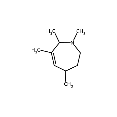 CC1=CC(C)CCN(C)C1C